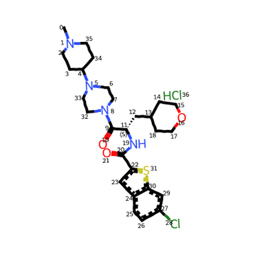 CN1CCC(N2CCN(C(=O)[C@H](CC3CCOCC3)NC(=O)c3cc4ccc(Cl)cc4s3)CC2)CC1.Cl